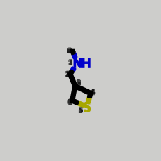 CNCC1CSC1